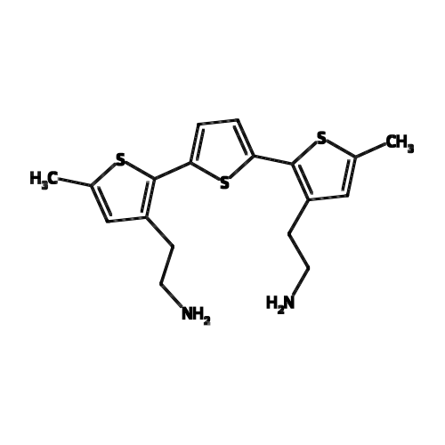 Cc1cc(CCN)c(-c2ccc(-c3sc(C)cc3CCN)s2)s1